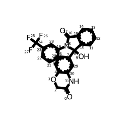 O=C1COc2ccc(C3(O)c4ccccc4C(=O)N3c3cccc(C(F)(F)F)c3)cc2N1